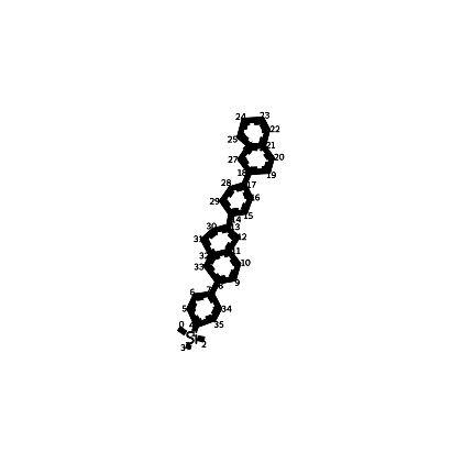 C[Si](C)(C)c1ccc(-c2ccc3cc(-c4ccc(-c5ccc6ccccc6c5)cc4)ccc3c2)cc1